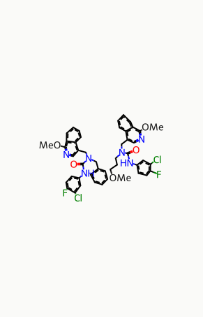 COCCCN(Cc1cnc(OC)c2ccccc12)C(=O)Nc1ccc(F)c(Cl)c1.COc1ncc(CN(Cc2ccccc2)C(=O)Nc2ccc(F)c(Cl)c2)c2ccccc12